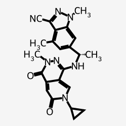 Cc1cc([C@H](C)Nc2nn(C)c(=O)c3cc(=O)n(C4CC4)cc23)cc2c1c(C#N)nn2C